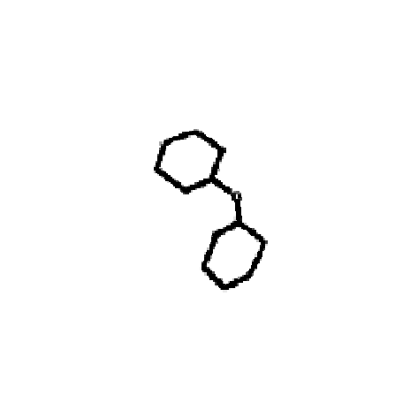 [CH]1CCC(OC2CCCCC2)CC1